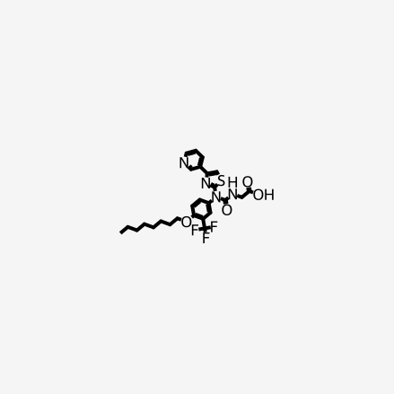 CCCCCCCCOc1ccc(N(C(=O)NCC(=O)O)c2nc(-c3cccnc3)cs2)cc1C(F)(F)F